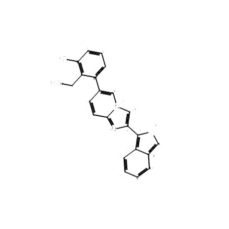 OCc1c(F)cccc1-c1ccc2nc(-c3occ4ccccc34)cn2c1